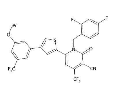 CC(C)Oc1cc(-c2csc(-c3cc(C(F)(F)F)c(C#N)c(=O)n3Cc3ccc(F)cc3F)c2)cc(C(F)(F)F)c1